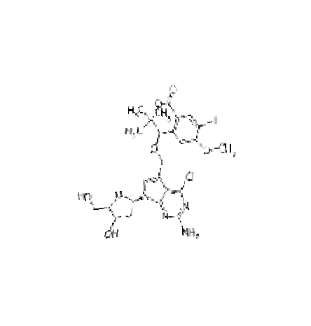 COc1cc([C@@H](OCc2cn([C@H]3CC(O)[C@@H](CO)O3)c3nc(N)nc(Cl)c23)C(C)(C)C)c([N+](=O)[O-])cc1I